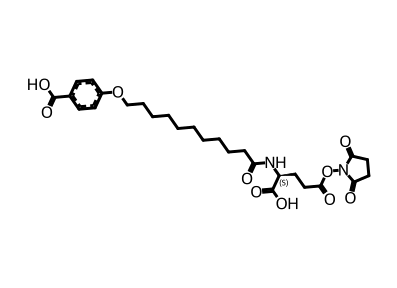 O=C(CCCCCCCCCCOc1ccc(C(=O)O)cc1)N[C@@H](CCC(=O)ON1C(=O)CCC1=O)C(=O)O